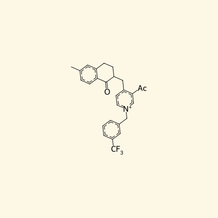 CC(=O)c1c[n+](Cc2cccc(C(F)(F)F)c2)ccc1CC1CCc2cc(C)ccc2C1=O